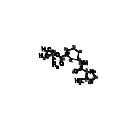 Cc1scnc1C(=O)NC1CCCN(C(=O)OC(C)(C)C)C1